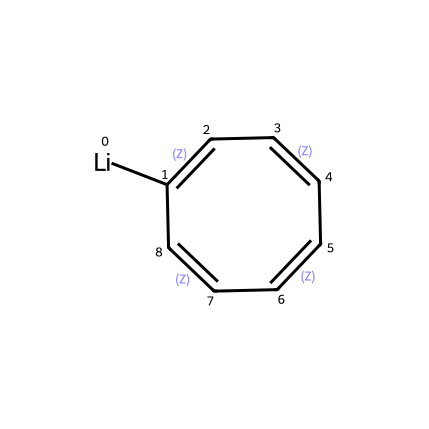 [Li][C]1=C/C=C\C=C/C=C\1